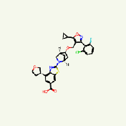 O=C(O)c1cc([C@H]2CCOC2)c2nc(N3C[C@@H]4C[C@H]3C[C@H]4OCc3c(-c4c(F)cccc4Cl)noc3C3CC3)sc2c1